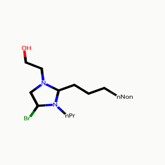 CCCCCCCCCCCCC1N(CCO)CC(Br)N1CCC